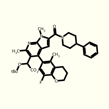 Cc1nc2c(cc(C(=O)N3CCC(c4ccccc4)CC3)n2C)c(-c2cc(F)c3c(c2C)CCCO3)c1C(OC(C)(C)C)C(=O)O